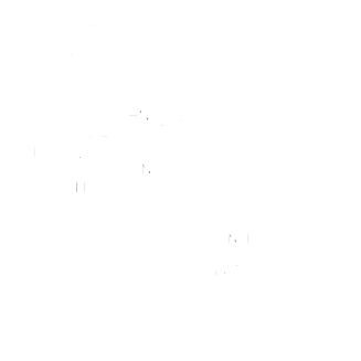 CC(C)(C)OC(=O)N[C@@H](CCCCNC(=O)OCc1ccccc1)C(=O)Nc1ccc(O)c(C(=O)O)c1